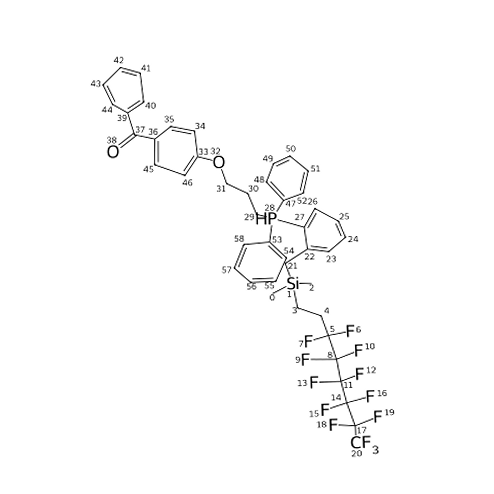 C[Si](C)(CCC(F)(F)C(F)(F)C(F)(F)C(F)(F)C(F)(F)C(F)(F)F)Cc1ccccc1[PH](CCCOc1ccc(C(=O)c2ccccc2)cc1)(c1ccccc1)c1ccccc1